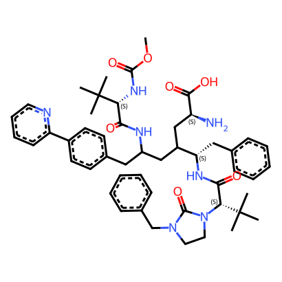 COC(=O)N[C@H](C(=O)NC(Cc1ccc(-c2ccccn2)cc1)CC(C[C@H](N)C(=O)O)[C@H](Cc1ccccc1)NC(=O)[C@@H](N1CCN(Cc2ccccc2)C1=O)C(C)(C)C)C(C)(C)C